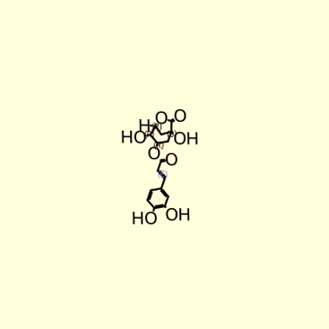 O=C(/C=C/c1ccc(O)c(O)c1)O[C@@H]1C[C@]2(O)C[C@@H](OC2=O)[C@@H]1O